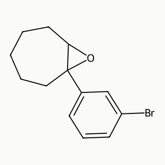 Brc1cccc(C23CCCCCC2O3)c1